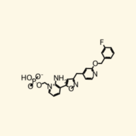 Nc1c(-c2cc(Cc3ccnc(OCc4cccc(F)c4)c3)no2)ccc[n+]1COP(=O)([O-])O